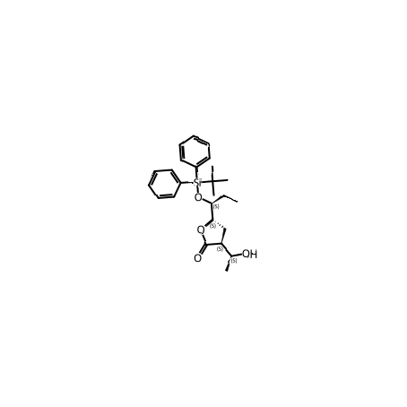 CC[C@H](O[Si](c1ccccc1)(c1ccccc1)C(C)(C)C)[C@@H]1C[C@@H]([C@H](C)O)C(=O)O1